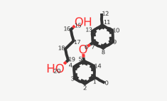 Cc1cccc(Oc2cccc(C)c2)c1.OCCCCO